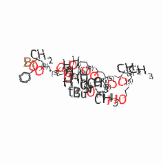 C=C(Br)C[C@@H](CC[C@@]12CC3O[C@H]4C(O1)[C@H]1O[C@@H](CC(=O)CC5[C@H](CC6O[C@@H](CCCO)C[C@@H](C)C6=C)O[C@H](C[C@H](C)CO[Si](C)(C)C(C)(C)C)[C@@H]5C)CC[C@@H]1O[C@H]4[C@H]3O2)OC(=O)c1ccccc1